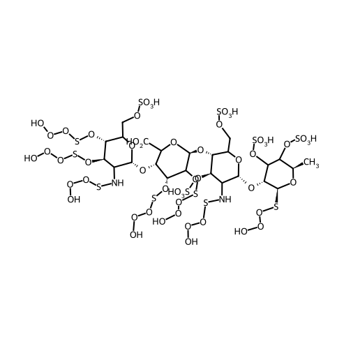 C[C@H]1O[C@@H](SOOO)[C@H](O[C@H]2OC(COS(=O)(=O)O)[C@@H](O[C@@H]3OC(C(=O)O)[C@@H](O[C@H]4OC(COS(=O)(=O)O)[C@@H](OSOOO)[C@H](OSOOO)C4NSOOO)[C@@H](OSOOO)C3OS(=O)(=O)O)[C@H](OSOOO)C2NSOOO)C(OS(=O)(=O)O)C1OS(=O)(=O)O